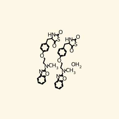 CN(CCOc1ccc(CC2NC(=O)SC2=O)cc1)c1nc2ccccc2o1.CN(CCOc1ccc(CC2NC(=O)SC2=O)cc1)c1nc2ccccc2o1.O